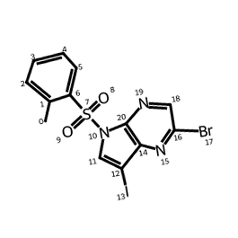 Cc1ccccc1S(=O)(=O)n1cc(I)c2nc(Br)cnc21